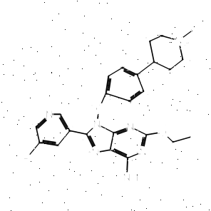 CCOc1nc(N)c2nc(-c3cncc(F)c3)n(Cc3ccc(C4CCN(C)CC4)cc3)c2n1